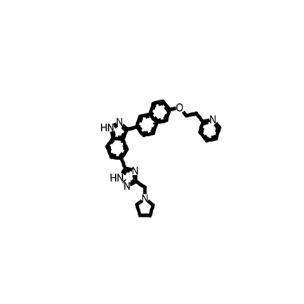 c1ccc(CCOc2ccc3cc(-c4n[nH]c5ccc(-c6nc(CN7CCCC7)n[nH]6)cc45)ccc3c2)nc1